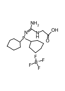 F[B-](F)(F)F.NC(=NP(C1CCCCC1)C1CCCCC1)NCC(=O)O